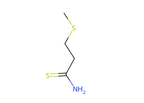 CSCCC(N)=S